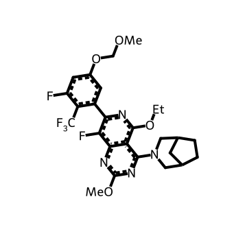 CCOc1nc(-c2cc(OCOC)cc(F)c2C(F)(F)F)c(F)c2nc(OC)nc(N3CC4CCC(C4)C3)c12